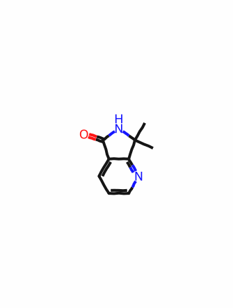 CC1(C)NC(=O)c2cccnc21